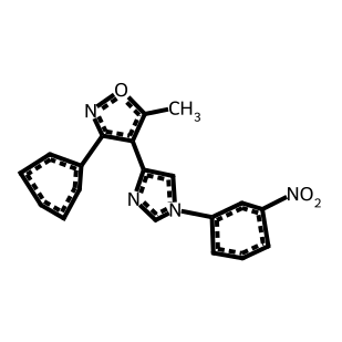 Cc1onc(-c2ccccc2)c1-c1cn(-c2cccc([N+](=O)[O-])c2)cn1